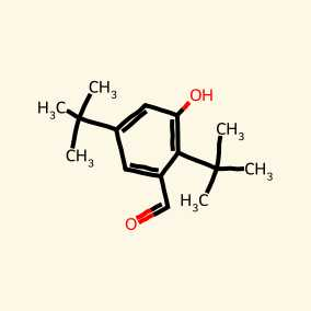 CC(C)(C)c1cc(O)c(C(C)(C)C)c(C=O)c1